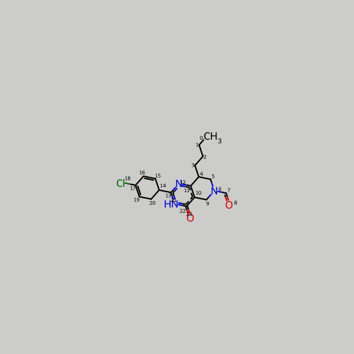 CCCCC1CN(C=O)Cc2c1nc(C1C=CC(Cl)=CC1)[nH]c2=O